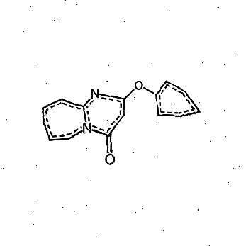 O=c1cc(Oc2ccccc2)nc2ccccn12